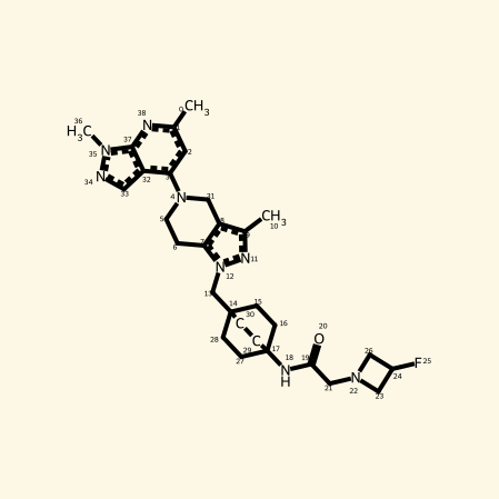 Cc1cc(N2CCc3c(c(C)nn3CC34CCC(NC(=O)CN5CC(F)C5)(CC3)CC4)C2)c2cnn(C)c2n1